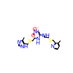 Cc1cccnc1CSCCN/C(=C/[N+](=O)[O-])NCCSCc1[nH]cnc1C